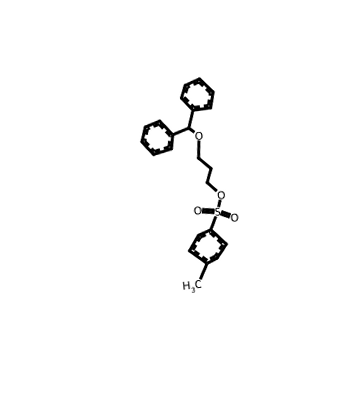 Cc1ccc(S(=O)(=O)OCCCOC(c2ccccc2)c2ccccc2)cc1